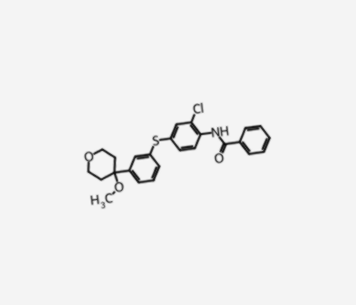 COC1(c2cccc(Sc3ccc(NC(=O)c4ccccc4)c(Cl)c3)c2)CCOCC1